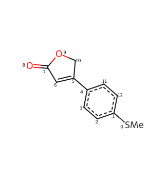 CSc1ccc(C2=CC(=O)OC2)cc1